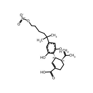 C=C(C)[C@H]1CCC(C(=O)O)=C[C@@H]1c1c(O)cc(C(C)(C)CCCCO[N+](=O)[O-])cc1O